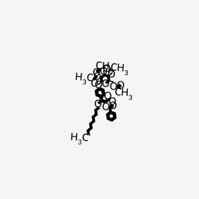 CCCCCCCCCCOc1c(OC(=O)c2ccccc2)c(=O)oc2cc(O[C@@H]3O[C@H](COC(C)=O)[C@H](OC(C)=O)[C@H](OC(C)=O)[C@H]3OC(C)=O)ccc12